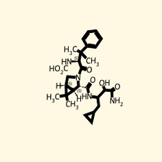 CC(C)(c1ccccc1)[C@H](NC(=O)O)C(=O)N1C[C@H]2[C@@H]([C@H]1C(=O)NC(CC1CC1)C(O)C(N)=O)C2(C)C